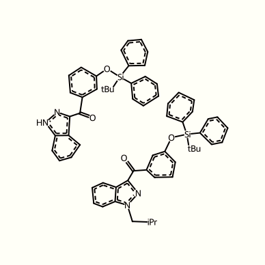 CC(C)(C)[Si](Oc1cccc(C(=O)c2n[nH]c3ccccc23)c1)(c1ccccc1)c1ccccc1.CC(C)Cn1nc(C(=O)c2cccc(O[Si](c3ccccc3)(c3ccccc3)C(C)(C)C)c2)c2ccccc21